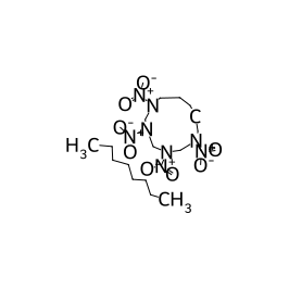 CCCCCCCC.O=[N+]([O-])N1CCCCCN([N+](=O)[O-])CN([N+](=O)[O-])CN([N+](=O)[O-])C1